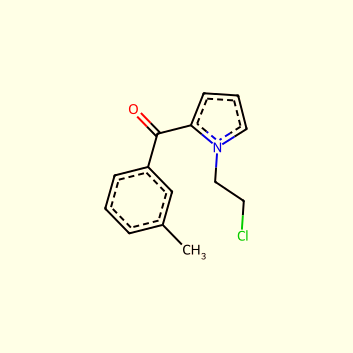 Cc1cccc(C(=O)c2cccn2CCCl)c1